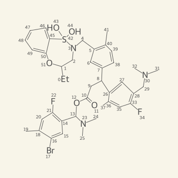 CCC1CN(Cc2cc(C(CC(=O)OC(c3cc(Br)c(C)cc3F)N(C)C)c3cc(CN(C)C)c(F)cc3C)ccc2C)S(O)(O)c2ccccc2O1